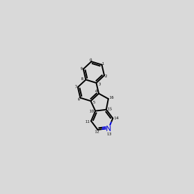 c1ccc2c3c(ccc2c1)-c1ccncc1C3